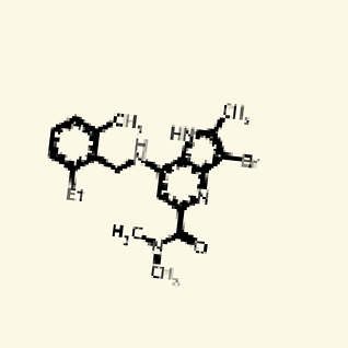 CCc1cccc(C)c1CNc1cc(C(=O)N(C)C)nc2c(Br)c(C)[nH]c12